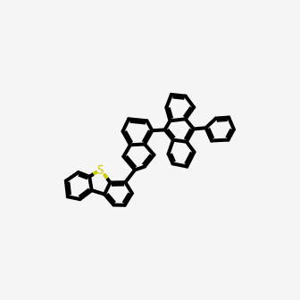 c1ccc(-c2c3ccccc3c(-c3cccc4cc(-c5cccc6c5sc5ccccc56)ccc34)c3ccccc23)cc1